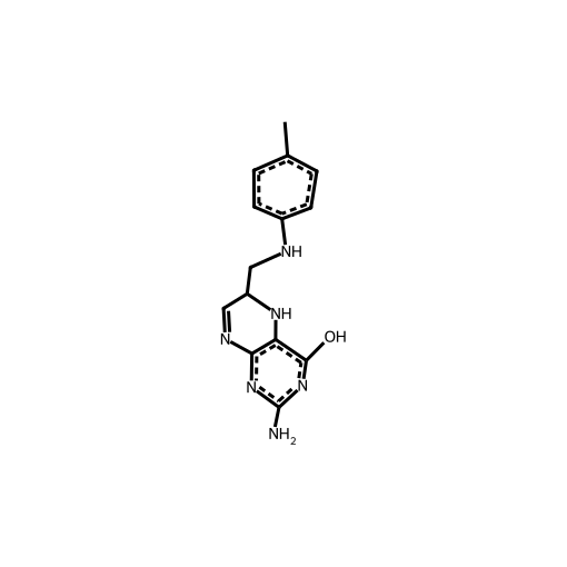 Cc1ccc(NCC2C=Nc3nc(N)nc(O)c3N2)cc1